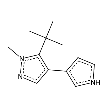 Cn1ncc(-c2cc[nH]c2)c1C(C)(C)C